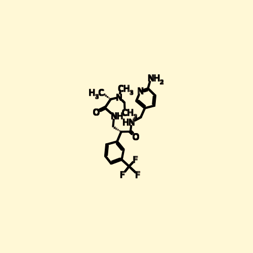 CCN(C)[C@@H](C)C(=O)NC[C@H](C(=O)NCc1ccc(N)nc1)c1cccc(C(F)(F)F)c1